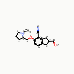 CN1CCCC1COc1ccc2c(c1C#N)CC(C=O)C2